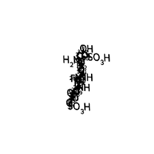 Nc1ccc2c(O)cc(S(=O)(=O)O)cc2c1N=Nc1ccc(Nc2nc(F)nc(Nc3ccc(S(=O)(=O)CCOS(=O)(=O)O)cc3)n2)cc1